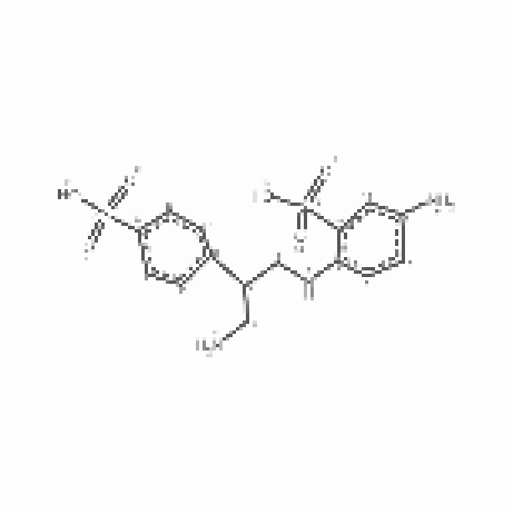 NCC(CNc1ccc(N)cc1S(=O)(=O)O)c1ccc(S(=O)(=O)O)cc1